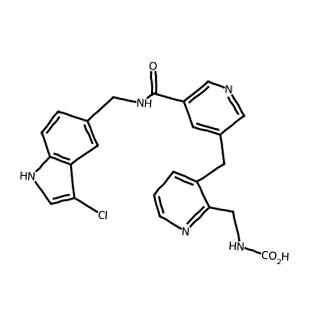 O=C(O)NCc1ncccc1Cc1cncc(C(=O)NCc2ccc3[nH]cc(Cl)c3c2)c1